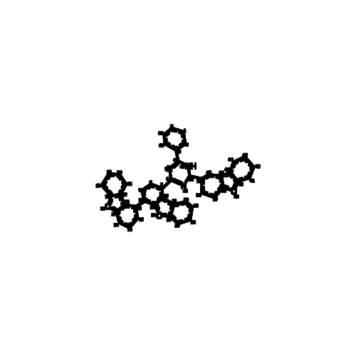 c1ccc(C2=NC(c3ccc(-c4cccc5oc6ccccc6c45)c4oc5ccccc5c34)=NC(c3ccc4oc5ccccc5c4c3)N2)cc1